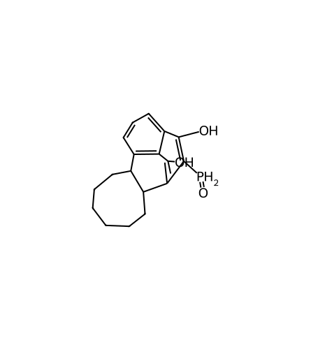 O=[PH2]c1c2c(O)c3c(cccc3c1O)C1CCCCCCC21